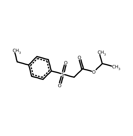 CCc1ccc(S(=O)(=O)CC(=O)OC(C)C)cc1